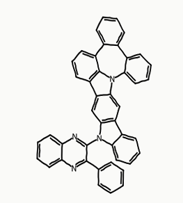 c1ccc(-c2nc3ccccc3nc2-n2c3ccccc3c3cc4c(cc32)c2cccc3c2n4-c2ccccc2-c2ccccc2-3)cc1